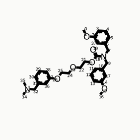 COc1cccc(CN(Cc2cccc(OC)c2)C(=O)OCCOCCOc2cccc(CN(C)C)c2)c1